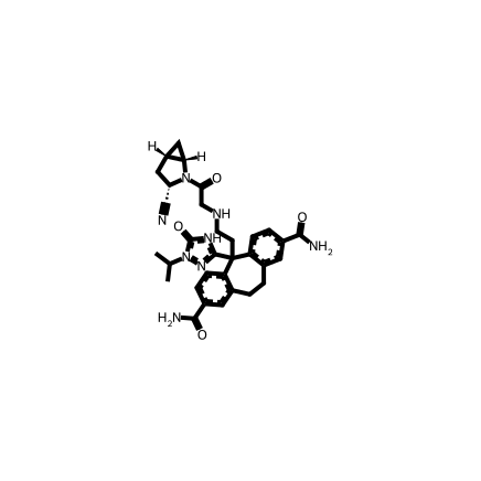 CC(C)n1nc(C2(CCNCC(=O)N3[C@H](C#N)C[C@@H]4C[C@@H]43)c3ccc(C(N)=O)cc3CCc3cc(C(N)=O)ccc32)[nH]c1=O